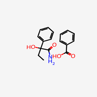 CCC(O)(C(N)=O)c1ccccc1.O=C(O)c1ccccc1